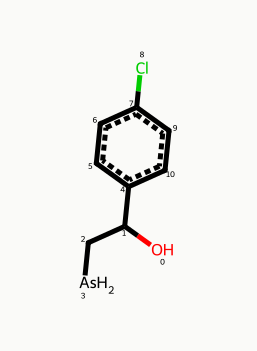 OC(C[AsH2])c1ccc(Cl)cc1